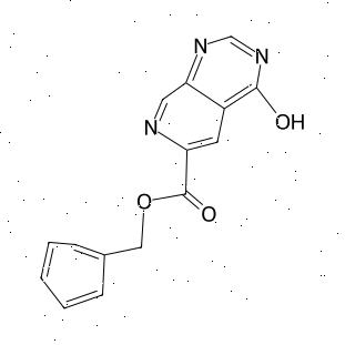 O=C(OCc1ccccc1)c1cc2c(O)ncnc2cn1